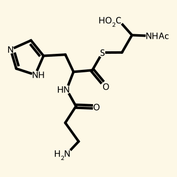 CC(=O)NC(CSC(=O)C(Cc1cnc[nH]1)NC(=O)CCN)C(=O)O